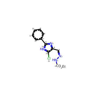 CCOC(=O)N/N=C\c1nc(-c2ccccc2)[nH]c1Cl